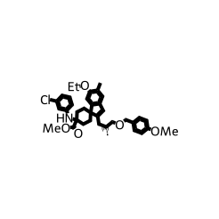 CCOc1cc2c(cc1C)C=C(C[C@@H](C)COCc1ccc(OC)cc1)C21CCC(Nc2cccc(Cl)c2)(C(=O)OC)CC1